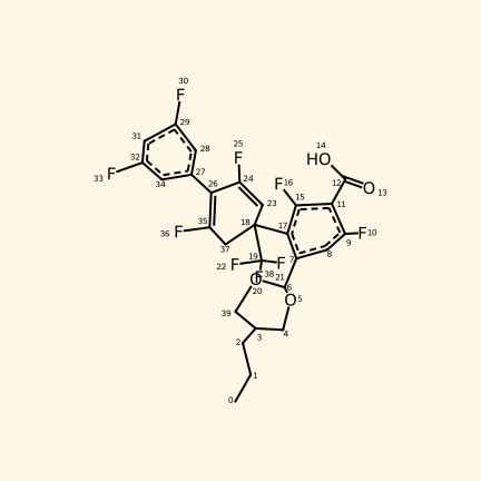 CCCC1COC(c2cc(F)c(C(=O)O)c(F)c2C2(C(F)(F)F)C=C(F)C(c3cc(F)cc(F)c3)=C(F)C2)OC1